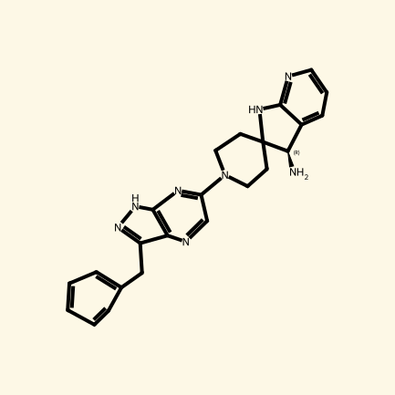 N[C@@H]1c2cccnc2NC12CCN(c1cnc3c(Cc4ccccc4)n[nH]c3n1)CC2